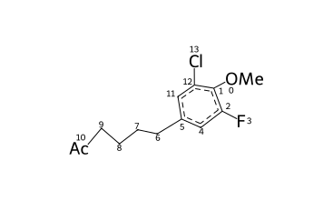 COc1c(F)cc(CCCCC(C)=O)cc1Cl